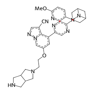 COc1ccc(CN2C3CC2CN(c2cnc(-c4cc(OCCN5CC6CNCC6C5)cn5ncc(C#N)c45)cn2)C3)cn1